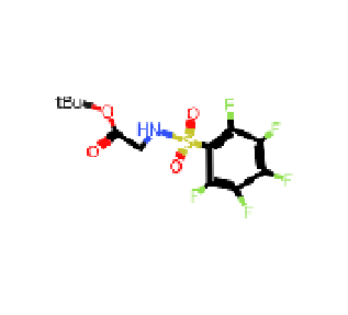 CC(C)(C)OC(=O)CNS(=O)(=O)c1c(F)c(F)c(F)c(F)c1F